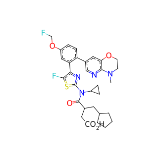 CN1CCOc2cc(-c3ccc(OCF)cc3-c3nc(N(C(=O)C(CC(=O)O)CC4CCCC4)C4CC4)sc3F)cnc21